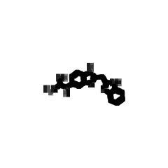 N=C(N)Nc1ccc2[nH]c(Cc3nc4ccccc4[nH]3)nc2c1